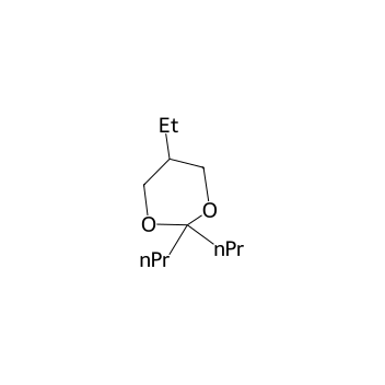 CCCC1(CCC)OCC(CC)CO1